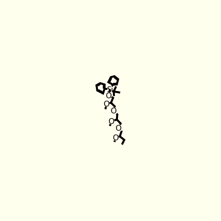 CCC(COCC(COCC(CO[Si](c1ccccc1)(c1ccccc1)C(C)(C)C)OC)OC)OC